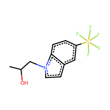 CC(O)Cn1ccc2cc(S(F)(F)(F)(F)F)ccc21